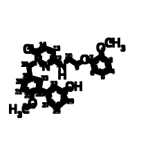 COc1ccccc1OCCNc1ccc(=O)n(Cc2ccc(OC)c(-c3cccc(O)c3)c2)n1